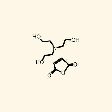 O=C1C=CC(=O)O1.OCCN(CCO)CCO